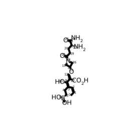 C\C=C/C(CCB(O)O)=C(O)\C(=C\OC1CN(C(=O)CC[C@@H](N)C(N)=O)C1)C(=O)O